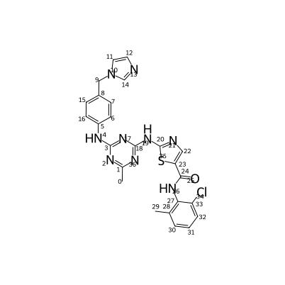 Cc1nc(Nc2ccc(Cn3ccnc3)cc2)nc(Nc2ncc(C(=O)Nc3c(C)cccc3Cl)s2)n1